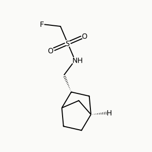 O=S(=O)(CF)NC[C@@H]1C[C@H]2CCC1C2